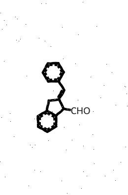 O=CC1/C(=C/c2ccccc2)Cc2ccccc21